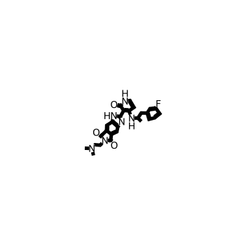 CC(Cc1cccc(F)c1)Nc1cc[nH]c(=O)c1-c1nc2cc3c(cc2[nH]1)C(=O)N(CCN(C)C)C3=O